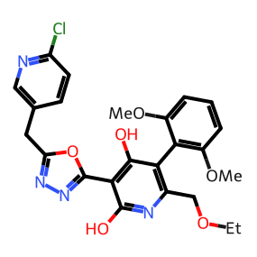 CCOCc1nc(O)c(-c2nnc(Cc3ccc(Cl)nc3)o2)c(O)c1-c1c(OC)cccc1OC